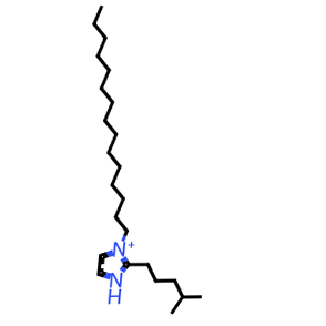 CCCCCCCCCCCCCCC[n+]1cc[nH]c1CCCC(C)C